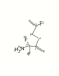 C=C(F)CCC(=C)C(N)(F)F